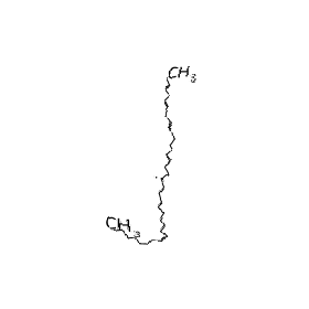 CCC=CCC=CCC=CCCCCCCC[CH]CCCCCCCC/C=C\C/C=C\CCCCC